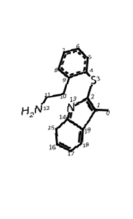 CC1=C(Sc2ccccc2CCN)N=C2CC=CC=C21